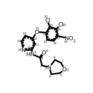 O=C(CN1CCOCC1)Nc1cc(Oc2ccc([N+](=O)[O-])c(Cl)c2Cl)ccn1